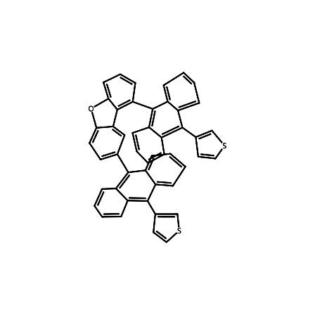 c1cc(-c2c3ccccc3c(-c3ccsc3)c3ccccc23)c2c(c1)oc1ccc(-c3c4ccccc4c(-c4ccsc4)c4ccccc34)cc12